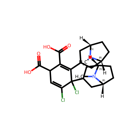 CN1[C@@H]2CC[C@H]1CC(C1=C(C(=O)O)C(C(=O)O)C=C(Cl)C1(Cl)C1C[C@H]3CC[C@@H](C1)N3C)C2